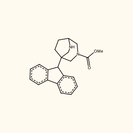 COC(=O)N1CC2CCC(C3c4ccccc4-c4ccccc43)(CN2)C1